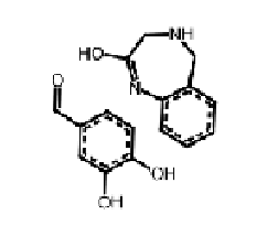 O=Cc1ccc(O)c(O)c1.OC1=Nc2ccccc2CNC1